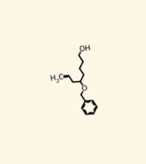 C=CCC(CCCCO)OCc1ccccc1